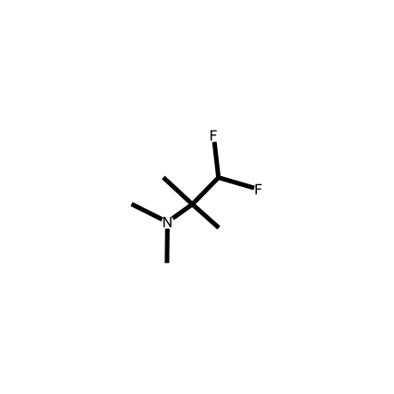 CN(C)C(C)(C)C(F)F